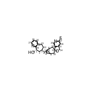 O[C@H]1C[C@H](CN2C3CCC2CC2(C3)OCc3cc(F)ncc32)CCc2cccnc21